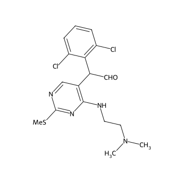 CSc1ncc(C(C=O)c2c(Cl)cccc2Cl)c(NCCN(C)C)n1